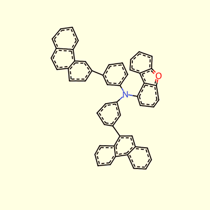 c1cc(-c2ccc3ccc4ccccc4c3c2)cc(N(c2cccc(-c3cc4ccccc4c4ccccc34)c2)c2cccc3oc4ccccc4c23)c1